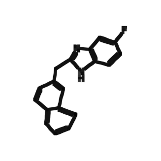 Fc1ccc2[nH]c(Cc3ccc4ccccc4c3)nc2c1